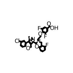 Cn1nc(C(=O)N(CCOc2c(F)cc(C(=O)O)cc2F)Cc2ccccc2F)c2c1-c1cc(Cl)ccc1OC2